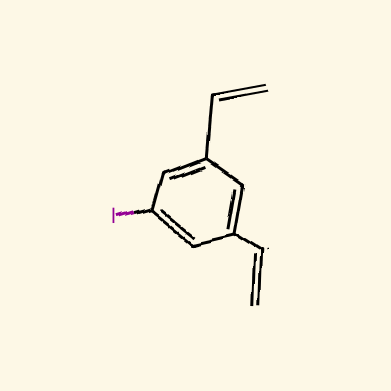 C=[C]c1cc(I)cc(C=C)c1